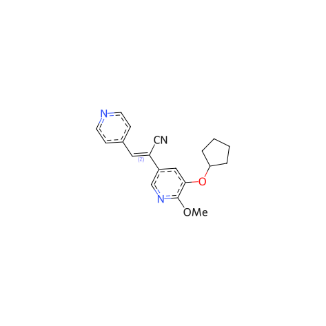 COc1ncc(/C(C#N)=C/c2ccncc2)cc1OC1CCCC1